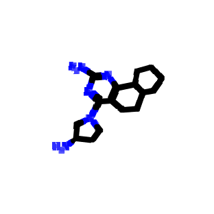 Nc1nc2c(c(N3CC[C@@H](N)C3)n1)CCC1CCCCC21